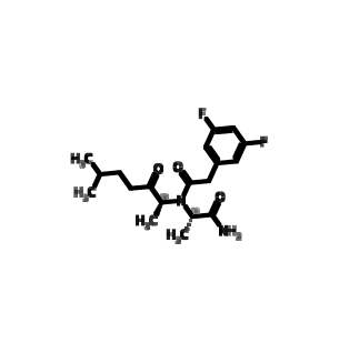 CC(C)CCC(=O)[C@H](C)N(C(=O)Cc1cc(F)cc(F)c1)[C@@H](C)C(N)=O